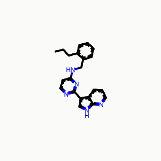 CCCc1ccccc1CNc1ccnc(-c2c[nH]c3ncccc23)n1